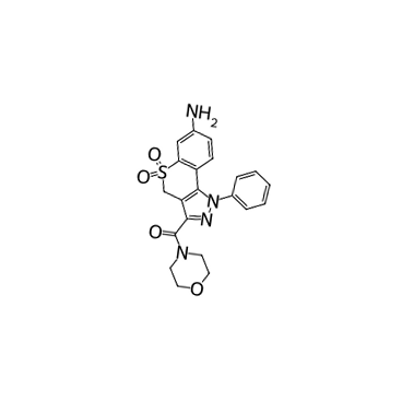 Nc1ccc2c(c1)S(=O)(=O)Cc1c(C(=O)N3CCOCC3)nn(-c3ccccc3)c1-2